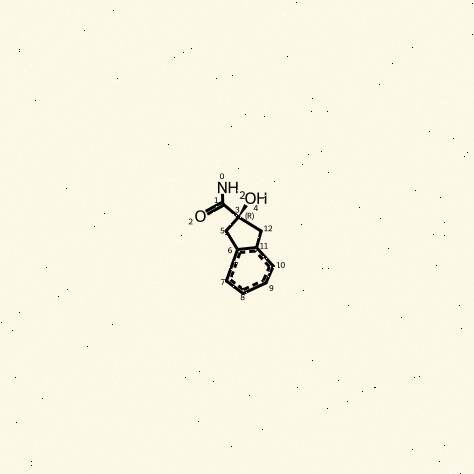 NC(=O)[C@@]1(O)[CH]c2ccccc2C1